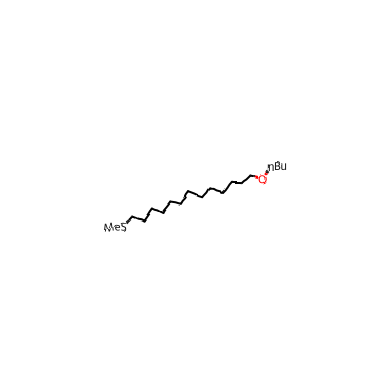 CCCCOCCCCCCCCCCCCCSC